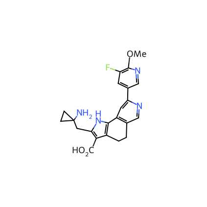 COc1ncc(-c2cc3c(cn2)CCc2c-3[nH]c(CC3(N)CC3)c2C(=O)O)cc1F